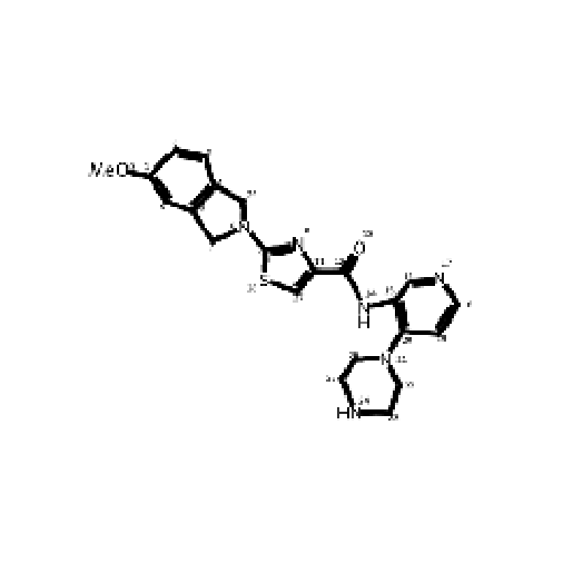 COc1ccc2c(c1)CN(c1nc(C(=O)Nc3cnccc3N3CCNCC3)cs1)C2